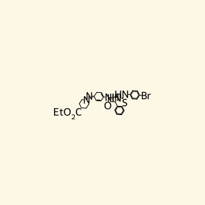 CCOC(=O)C1CCN(N=C2C=CC(NC(=O)C(NC(=S)Nc3ccc(Br)cc3)c3ccccc3)=CC2)CC1